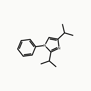 CC(C)c1cn(-c2ccccc2)c(C(C)C)n1